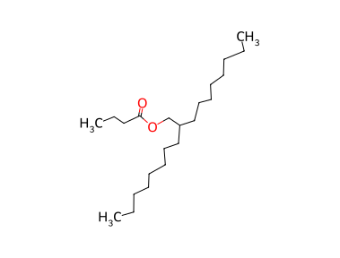 CCCCCCCCC(CCCCCCCC)COC(=O)CCC